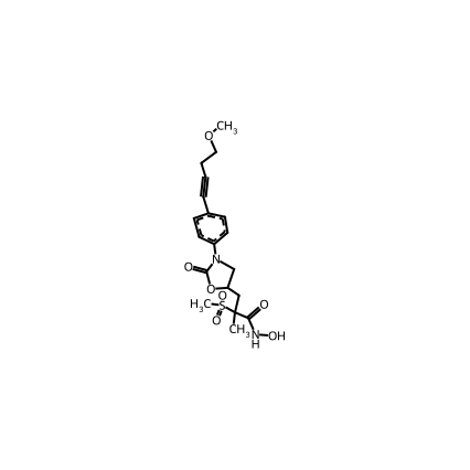 COCCC#Cc1ccc(N2CC(CC(C)(C(=O)NO)S(C)(=O)=O)OC2=O)cc1